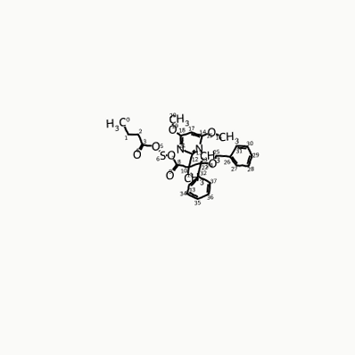 CCCC(=O)OSOC(=O)C(C)(c1nc(OC)cc(OC)n1)C(C)(OCc1ccccc1)c1ccccc1